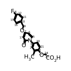 Cc1cc(-n2ccc(OCc3ccc(F)cc3)cc2=O)ccc1OCC(=O)O